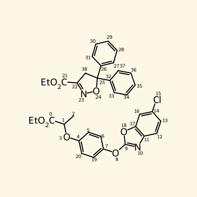 CCOC(=O)C(C)Oc1ccc(Oc2nc3ccc(Cl)cc3o2)cc1.CCOC(=O)C1=NOC(c2ccccc2)(c2ccccc2)C1